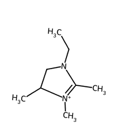 CCN1CC(C)[N+](C)=C1C